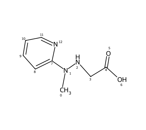 CN(NCC(=O)O)c1ccccn1